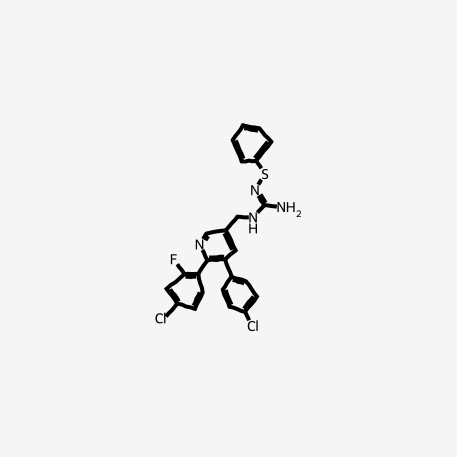 N/C(=N\Sc1ccccc1)NCc1cnc(-c2ccc(Cl)cc2F)c(-c2ccc(Cl)cc2)c1